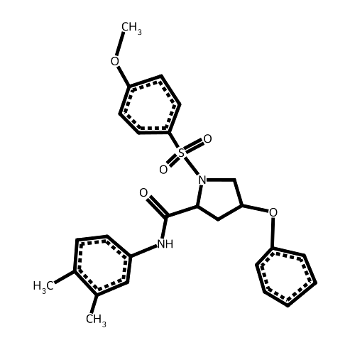 COc1ccc(S(=O)(=O)N2CC(Oc3ccccc3)CC2C(=O)Nc2ccc(C)c(C)c2)cc1